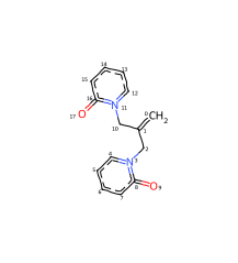 C=C(Cn1ccccc1=O)Cn1ccccc1=O